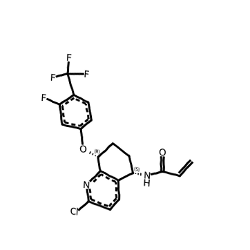 C=CC(=O)N[C@H]1CC[C@@H](Oc2ccc(C(F)(F)F)c(F)c2)c2nc(Cl)ccc21